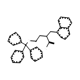 NC(=O)C(CC(=O)NC(c1ccccc1)(c1ccccc1)c1ccccc1)Cc1cccc2ccccc12